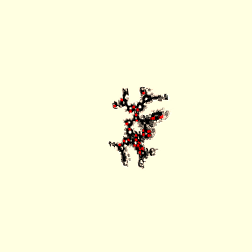 [C-]#[N+]c1cc(C#N)cc(-c2ccc3c(c2)c2cc(-c4cc(C#N)cc([N+]#[C-])c4)ccc2n3-c2cc(-c3cccc(-c4ccc(-n5c6ccc(-c7cc(C#N)cc([N+]#[C-])c7)cc6c6cc(-c7cc([N+]#[C-])cc([N+]#[C-])c7)ccc65)c(-c5nc(-c6ccccc6)nc(-c6ccccc6)n5)c4)c3)cc(-c3nc(-c4ccccc4)nc(-c4ccccc4)n3)c2)c1